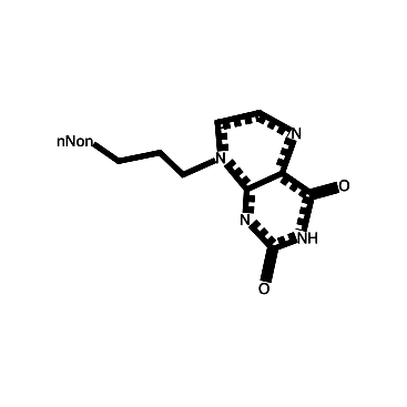 CCCCCCCCCCCCn1ccnc2c(=O)[nH]c(=O)nc1-2